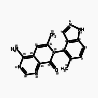 Cc1ccc2[nH]ncc2c1-n1c(C(F)(F)F)cc2c(N)ncnc2c1=O